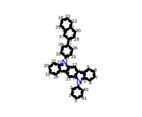 c1ccc(-n2c3ccccc3c3cc4c(cc32)c2ccccc2n4-c2ccc(-c3ccc4ccccc4c3)cc2)cc1